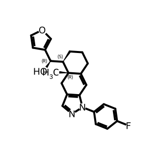 C[C@]12Cc3cnn(-c4ccc(F)cc4)c3C=C1CCC[C@@H]2[C@@H](O)c1ccoc1